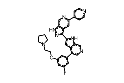 Fc1cc(OCCN2CCCC2)cc(-c2cncc3[nH]c(-c4n[nH]c5cnc(-c6ccncc6)cc45)cc23)c1